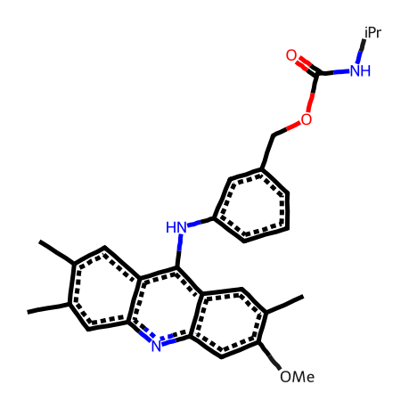 COc1cc2nc3cc(C)c(C)cc3c(Nc3cccc(COC(=O)NC(C)C)c3)c2cc1C